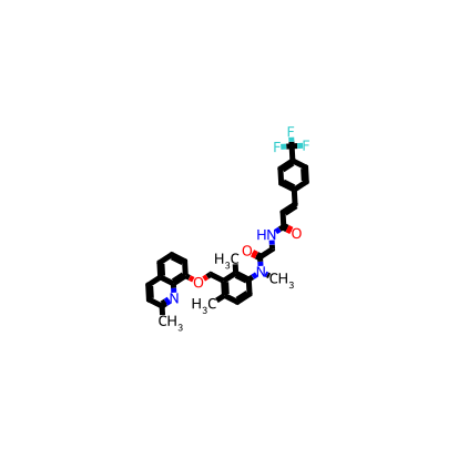 Cc1ccc2cccc(OCc3c(C)ccc(N(C)C(=O)CNC(=O)C=Cc4ccc(C(F)(F)F)cc4)c3C)c2n1